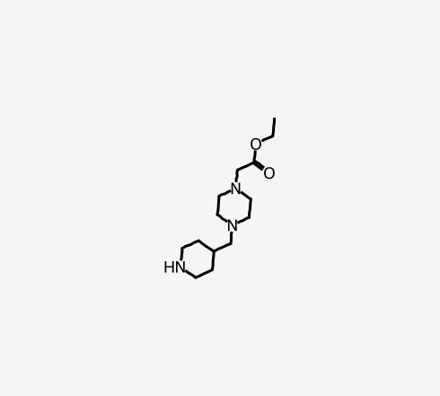 CCOC(=O)CN1CCN(CC2CCNCC2)CC1